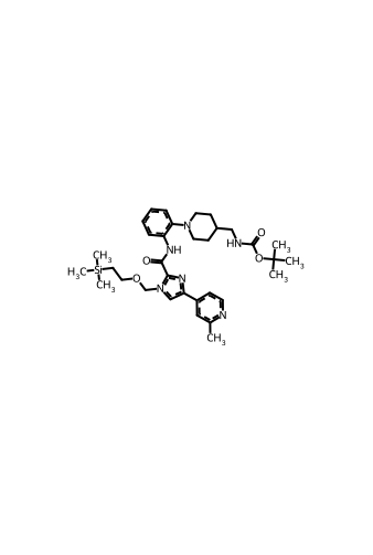 Cc1cc(-c2cn(COCC[Si](C)(C)C)c(C(=O)Nc3ccccc3N3CCC(CNC(=O)OC(C)(C)C)CC3)n2)ccn1